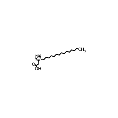 CCCCCCCCCCCCCCCn1nnnc1CC(=O)O